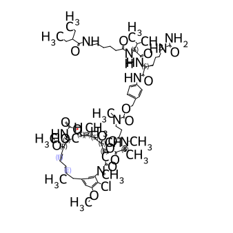 CCC(CC)C(=O)NCCCCCC(=O)N[C@H](C(=O)N[C@@H](CCCNC(N)=O)C(=O)Nc1ccc(COC(=O)N(C)CCC(=O)N(C)[C@@H](C)C(=O)O[C@@H]2CC(=O)N(C)c3cc(cc(OC)c3Cl)C/C(C)=C/C=C/[C@@H](OC)[C@@]3(O)C[C@H](OC(=O)N3)[C@@H](C)[C@@H]3O[C@@]23C)cc1)C(C)C